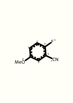 COc1[c]cc(F)c(C#N)c1